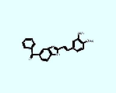 COc1ccc(/C=C/c2nc3cc(C(=O)c4ccccc4)ccc3[nH]2)cc1OC